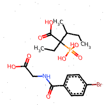 CCC(C)C(CC)(C(=O)O)P(=O)(O)O.O=C(O)CNC(=O)c1ccc(Br)cc1